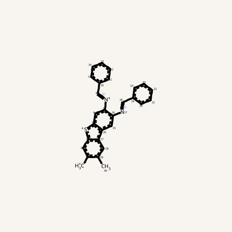 Cc1cc2sc3cc(/N=C/c4ccccc4)c(/N=C/c4ccccc4)cc3c2cc1C